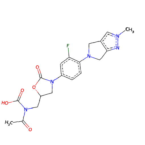 CC(=O)N(CC1CN(c2ccc(N3Cc4cn(C)nc4C3)c(F)c2)C(=O)O1)C(=O)O